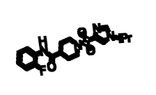 CC(C)n1cnc(S(=O)(=O)N2CCC(C(=O)Nc3ccccc3F)CC2)c1